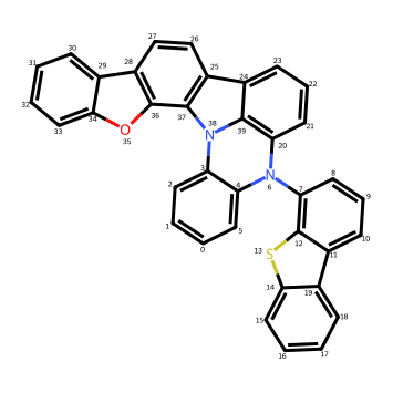 c1ccc2c(c1)N(c1cccc3c1sc1ccccc13)c1cccc3c4ccc5c6ccccc6oc5c4n-2c13